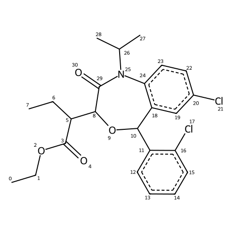 CCOC(=O)C(CC)C1OC(c2ccccc2Cl)c2cc(Cl)ccc2N(C(C)C)C1=O